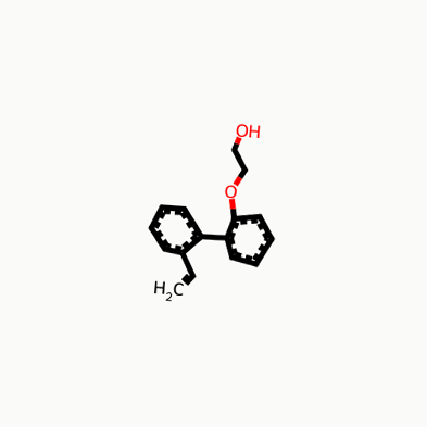 C=Cc1ccccc1-c1ccccc1OCCO